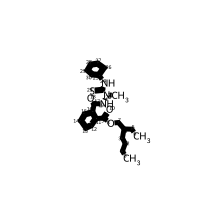 CCCCC(CC)COC(=O)c1ccccc1C(=O)NN(C)C(=S)Nc1ccccc1